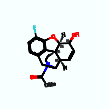 COC(=O)N1CC[C@]23c4c5ccc(F)c4O[C@H]2[C@@H](O)C=C[C@H]3C1C5